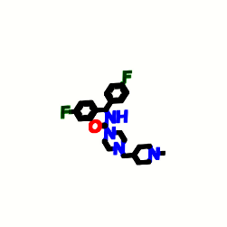 CN1CCC(CN2CCN(C(=O)NC(c3ccc(F)cc3)c3ccc(F)cc3)CC2)CC1